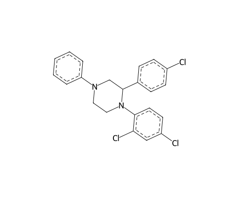 Clc1ccc(C2CN(c3ccccc3)CCN2c2ccc(Cl)cc2Cl)cc1